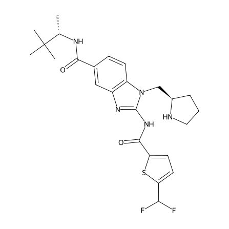 C[C@H](NC(=O)c1ccc2c(c1)nc(NC(=O)c1ccc(C(F)F)s1)n2C[C@H]1CCCN1)C(C)(C)C